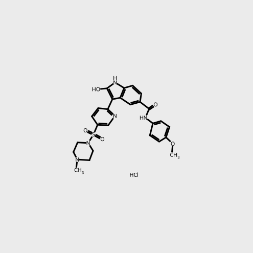 COc1ccc(NC(=O)c2ccc3[nH]c(O)c(-c4ccc(S(=O)(=O)N5CCN(C)CC5)cn4)c3c2)cc1.Cl